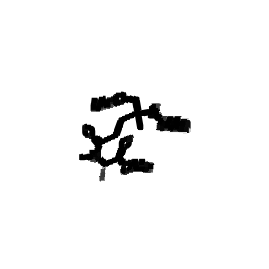 COCC(C)(CCC(=O)N(C)[C@@H](C)C(=O)OC)SSC